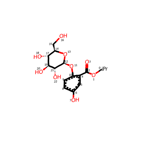 CC(C)OC(=O)c1cc(O)ccc1O[C@@H]1O[C@H](CO)[C@@H](O)[C@H](O)[C@H]1O